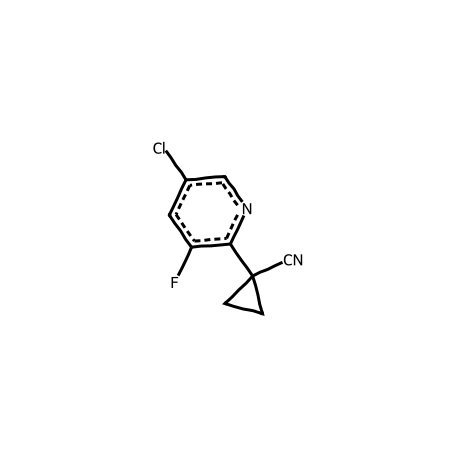 N#CC1(c2ncc(Cl)cc2F)CC1